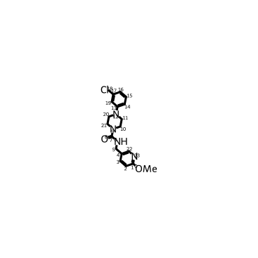 COc1ccc(CNC(=O)N2CCN(c3cccc(Cl)c3)CC2)cn1